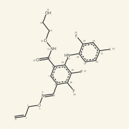 C=CCON=Cc1cc(C(=O)NOCCO)c(Nc2ccc(I)cc2F)c(F)c1F